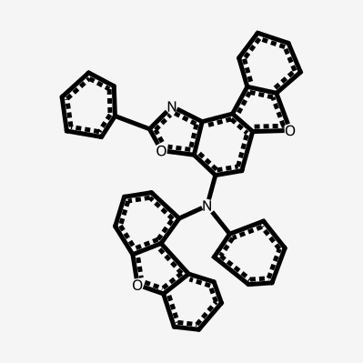 c1ccc(-c2nc3c(o2)c(N(c2ccccc2)c2cccc4oc5ccccc5c24)cc2oc4ccccc4c23)cc1